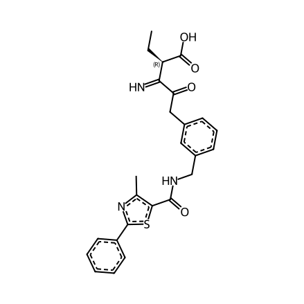 CC[C@H](C(=N)C(=O)Cc1cccc(CNC(=O)c2sc(-c3ccccc3)nc2C)c1)C(=O)O